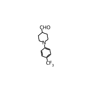 O=CC1CCN(c2ccc(C(F)(F)F)cc2)CC1